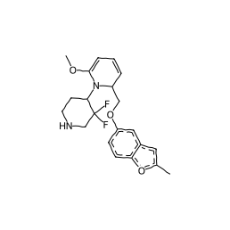 COC1=CC=CC(COc2ccc3oc(C)cc3c2)N1C1CCNCC1(F)F